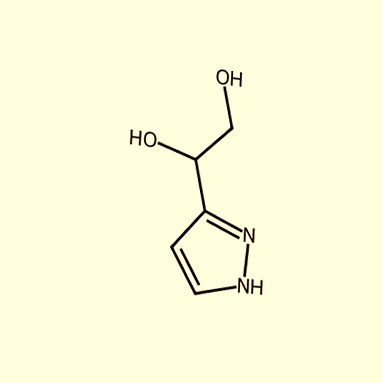 OCC(O)c1cc[nH]n1